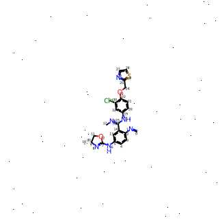 C=Nc1ccc(NC2=N[C@H](C)CO2)cc1/C(=N\C)Nc1ccc(OCc2nccs2)c(Cl)c1